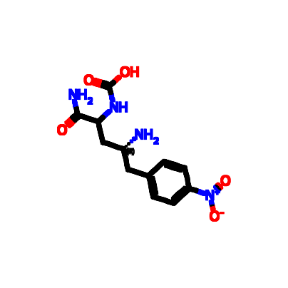 NC(=O)C(C[C@H](N)Cc1ccc([N+](=O)[O-])cc1)NC(=O)O